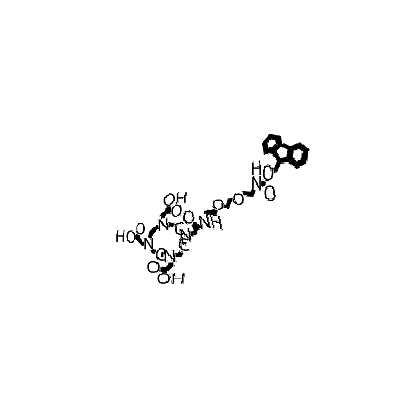 O=C(O)CN1CCN(CC(=O)O)CCN(CC(=O)NCCOCCOCCNC(=O)OCC2c3ccccc3-c3ccccc32)CCN(CC(=O)O)CC1